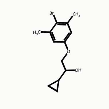 Cc1cc(OCC(O)C2CC2)cc(C)c1Br